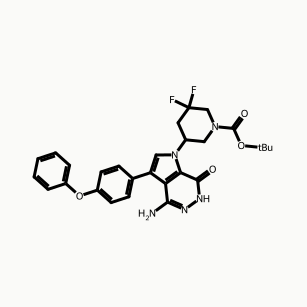 CC(C)(C)OC(=O)N1CC(n2cc(-c3ccc(Oc4ccccc4)cc3)c3c(N)n[nH]c(=O)c32)CC(F)(F)C1